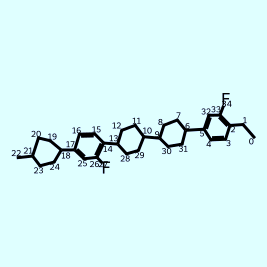 CCc1ccc(C2CCC(C3CCC(c4ccc(C5CCC(C)CC5)cc4F)CC3)CC2)cc1F